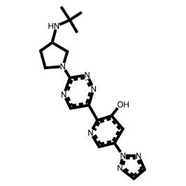 CC(C)(C)NC1CCN(c2ncc(-c3ncc(-n4nccn4)cc3O)nn2)C1